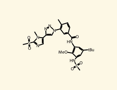 COc1c(NC(=O)c2ccc(C)c(-n3cc(-c4cnc(S(C)(=O)=O)n4C)nn3)c2)cc(C(C)(C)C)cc1NS(C)(=O)=O